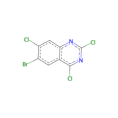 Clc1nc(Cl)c2cc(Br)c(Cl)cc2n1